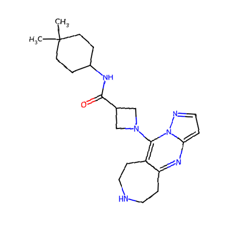 CC1(C)CCC(NC(=O)C2CN(c3c4c(nc5ccnn35)CCNCC4)C2)CC1